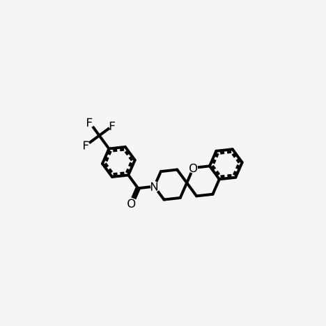 O=C(c1ccc(C(F)(F)F)cc1)N1CCC2(CCc3ccccc3O2)CC1